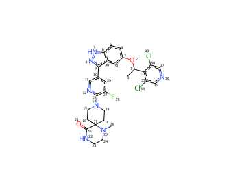 CC(Oc1ccc2[nH]nc(-c3cnc(N4CCC5(CC4)C(=O)NCCN5C)c(F)c3)c2c1)c1c(Cl)cncc1Cl